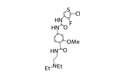 CCN(CC)CCNC(=O)c1ccc(NC(=O)Nc2csc(Cl)c2F)cc1OC